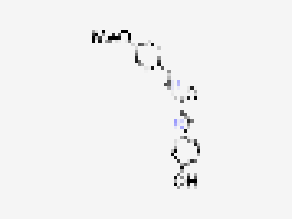 COC1=CCC(/C=C/C(=O)/C=C/c2ccc(O)cc2)C=C1